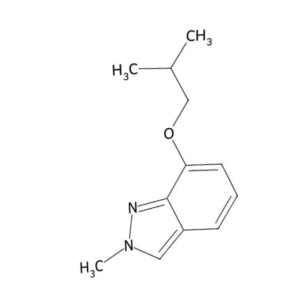 CC(C)COc1cccc2cn(C)nc12